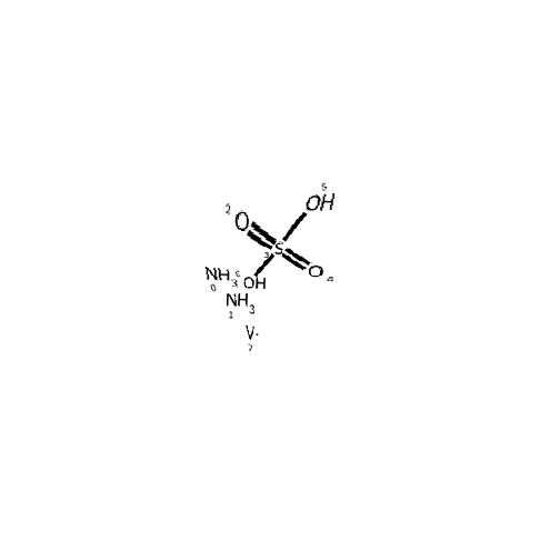 N.N.O=S(=O)(O)O.[V]